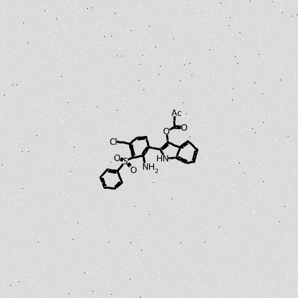 CC(=O)C(=O)Oc1c(-c2ccc(Cl)c(S(=O)(=O)c3ccccc3)c2N)[nH]c2ccccc12